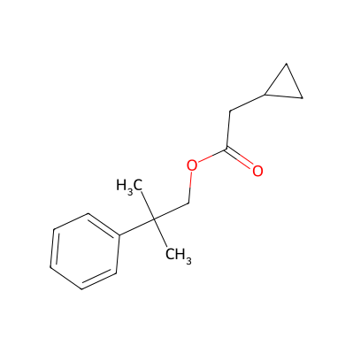 CC(C)(COC(=O)CC1CC1)c1ccccc1